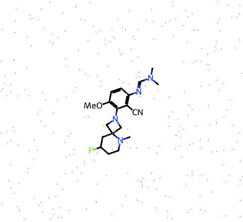 COc1ccc(/N=C/N(C)C)c(C#N)c1N1CC2(CC(F)CCN2C)C1